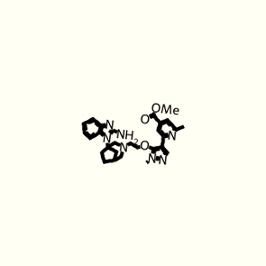 COC(=O)c1cc(C)nc(-c2cnn(C)c2OCCN2CC3CCC(n4c(N)nc5ccccc54)(C3)C2)c1